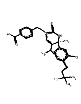 CC(C)C1=CN(Cc2ccc(C(=O)O)cc2)C(=O)N[C@@]1(C)c1ccc(CCC(C)(C)C)c(Cl)c1